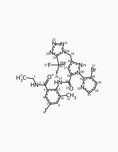 CCNC(=O)c1cc(I)cc(C)c1NC(=O)c1cc(Cn2nnnc2C(F)(F)F)nn1-c1ncccc1Br